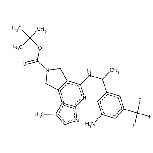 Cc1cnc2nc(NC(C)c3cc(N)cc(C(F)(F)F)c3)c3c(n12)CN(C(=O)OC(C)(C)C)C3